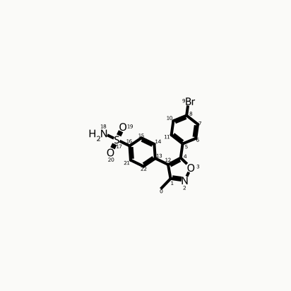 Cc1noc(-c2ccc(Br)cc2)c1-c1ccc(S(N)(=O)=O)cc1